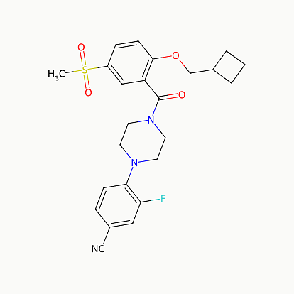 CS(=O)(=O)c1ccc(OCC2CCC2)c(C(=O)N2CCN(c3ccc(C#N)cc3F)CC2)c1